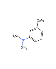 COc1cccc(N([SiH3])[SiH3])c1